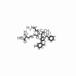 CC(C)(C)[C@H](c1cc(-c2cc(F)ccc2F)cn1Cc1ccccc1)N(CCCN)C(=O)CSCCC(N)C(=O)O